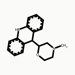 CN1CCOC(C2c3ccccc3Bc3ccccc32)C1